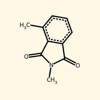 Cc1cccc2c1C(=O)N(C)C2=O